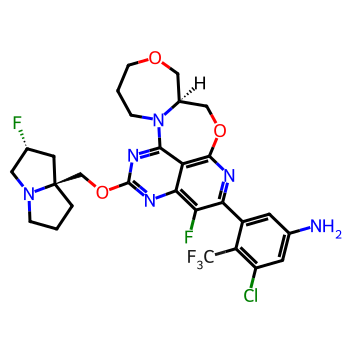 Nc1cc(Cl)c(C(F)(F)F)c(-c2nc3c4c(nc(OC[C@@]56CCCN5C[C@H](F)C6)nc4c2F)N2CCCOC[C@H]2CO3)c1